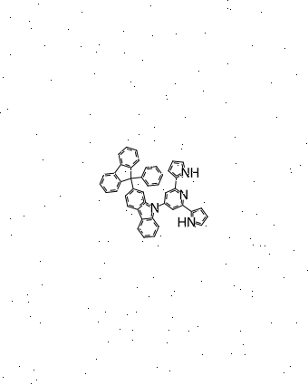 c1ccc(C2(c3ccc4c5ccccc5n(-c5cc(-c6ccc[nH]6)nc(-c6ccc[nH]6)c5)c4c3)c3ccccc3-c3ccccc32)cc1